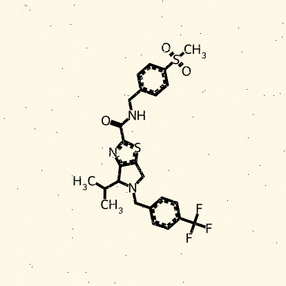 CC(C)C1c2nc(C(=O)NCc3ccc(S(C)(=O)=O)cc3)sc2CN1Cc1ccc(C(F)(F)F)cc1